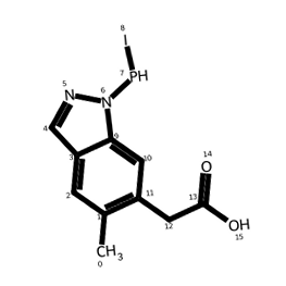 Cc1cc2cnn(PI)c2cc1CC(=O)O